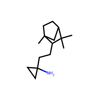 CC12CCC(C1)C(C)(C)C2CCC1(N)CC1